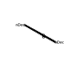 CCCCCCCCCCCCCCCCCCCCCCCCCCCCCCCCCCOC(=O)CCCCCCCCCCCCCCCCCCCCCCCC